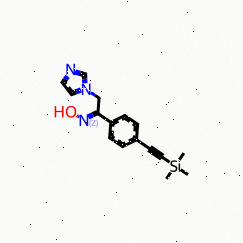 C[Si](C)(C)C#Cc1ccc(/C(Cn2ccnc2)=N/O)cc1